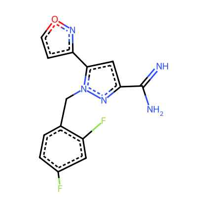 N=C(N)c1cc(-c2ccon2)n(Cc2ccc(F)cc2F)n1